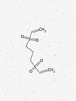 C=CS(=O)(=O)CCCS(=O)(=O)C=C